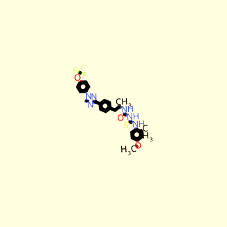 COc1ccc(NC(=S)NC(=O)NC(C)Cc2ccc(-c3ncn(-c4ccc(OC(F)(F)F)cc4)n3)cc2)c(C)c1